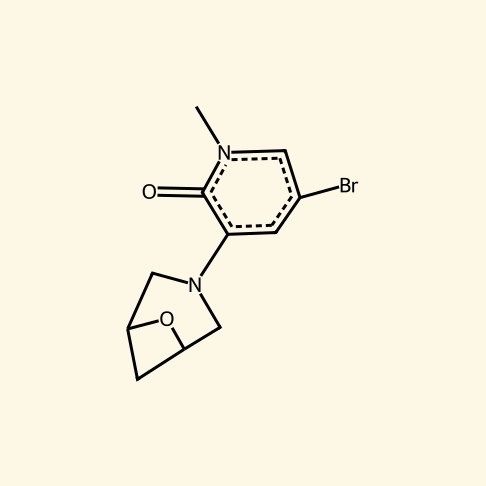 Cn1cc(Br)cc(N2CC3CC(C2)O3)c1=O